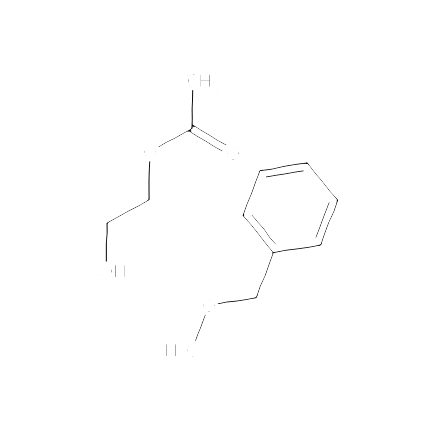 CC(=O)OCCO.COCc1ccccc1